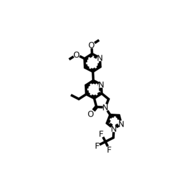 CCc1cc(-c2cnc(OC)c(OC)c2)nc2c1C(=O)N(c1cnn(CC(F)(F)F)c1)C2